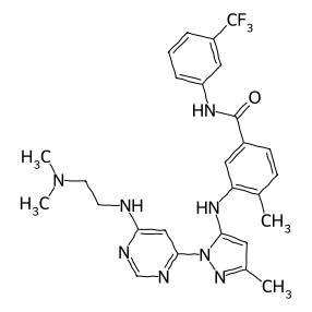 Cc1cc(Nc2cc(C(=O)Nc3cccc(C(F)(F)F)c3)ccc2C)n(-c2cc(NCCN(C)C)ncn2)n1